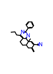 C=C1CC2CCc3c(CCC)nc(-c4ccccc4)nc3C2(C)C=C1C#N